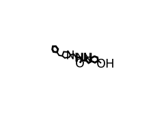 O=C(NCCN1CCC(Cc2ccccc2)CC1)c1cc2cc(O)ccc2[nH]1